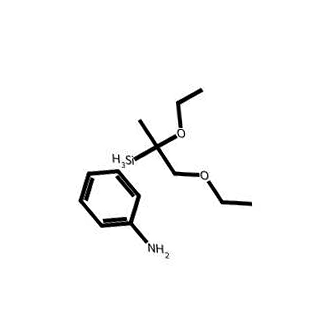 CCOCC(C)([SiH3])OCC.Nc1ccccc1